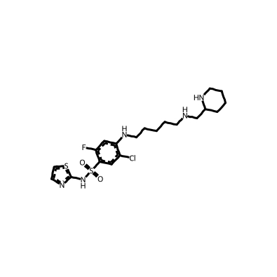 O=S(=O)(Nc1nccs1)c1cc(Cl)c(NCCCCCNCC2CCCCN2)cc1F